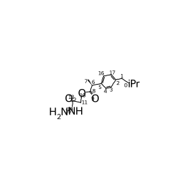 CC(C)Cc1ccc([C@H](C)C(=O)OCC(=O)NN)cc1